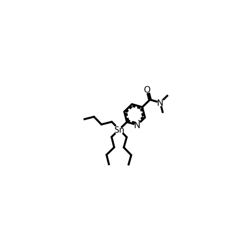 CCC[CH2][Sn]([CH2]CCC)([CH2]CCC)[c]1ccc(C(=O)N(C)C)cn1